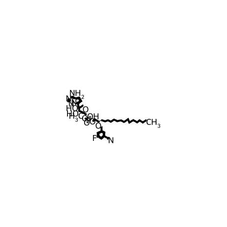 CCCCCCCCCCCCCCCC[C@@H](COP(=O)(O)OC[C@@]1(C)OC[C@](O)(c2ccc3c(N)ncnn23)[C@@H]1O)OCc1cc(F)cc(C#N)c1